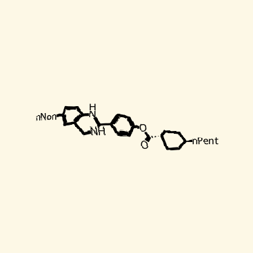 CCCCCCCCCc1ccc2c(c1)CNC(c1ccc(OC(=O)[C@H]3CC[C@H](CCCCC)CC3)cc1)N2